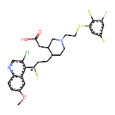 COc1ccc2ncc(Cl)c([C@H](F)CCC3CCN(CCSc4cc(F)cc(F)c4F)CC3CC(=O)O)c2c1